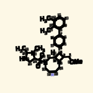 COCC1[C@@H](c2ccc(-c3cccc(C)c3C)cc2)[C@@H]2CN(S(=O)(=O)C3CNC(C)N3C)C/C=C\CN12